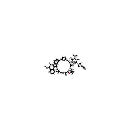 CCn1c(-c2cccnc2[C@H](C)OC)c2c3cc(ccc31)-c1csc(n1)C[C@H](NC(=O)[C@H](C(C)C)N(C)C(=O)N1CC(C#N)C1)C(=O)N1CCC[C@@H](C(=O)OCC(C)(C)C2)N1C1CC1